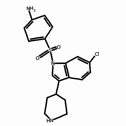 Nc1ccc(S(=O)(=O)n2cc(C3CCNCC3)c3ccc(Cl)cc32)cc1